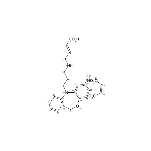 O=C(O)/C=C/CNCCCN1c2ccccc2COc2ccc(C(F)(F)F)cc21.O=C(O)/C=C\C(=O)O